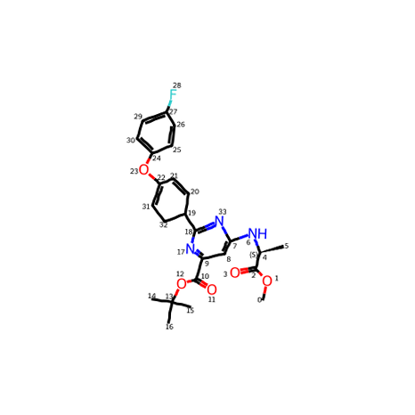 COC(=O)[C@H](C)Nc1cc(C(=O)OC(C)(C)C)nc(C2C=CC(Oc3ccc(F)cc3)=CC2)n1